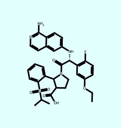 CCOc1ccc(F)c([C@@H](Nc2ccc3c(N)nccc3c2)C(=O)N2CCC(C(=O)O)C2c2ccccc2S(=O)(=O)C(C)C)c1